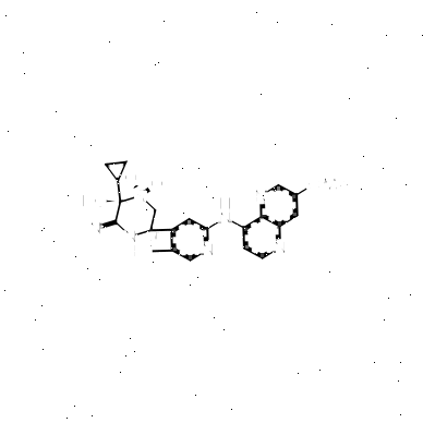 COc1cnc2c(Nc3cc4c(cn3)C[C@]43CS(=O)(=O)[C@@](C)(C4CC4)C(=N)N3)ccnc2c1